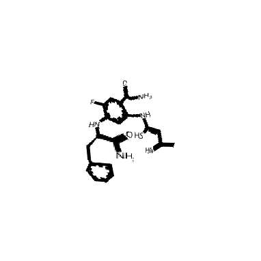 CC(=N)/C=C(\S)Nc1cc(N[C@H](Cc2ccccc2)C(N)=O)c(F)cc1C(N)=O